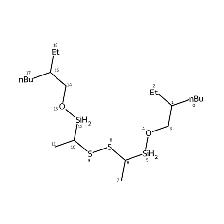 CCCCC(CC)CO[SiH2]C(C)SSC(C)[SiH2]OCC(CC)CCCC